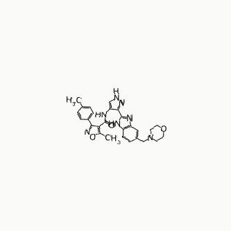 Cc1ccc(-c2noc(C)c2C(=O)Nc2c[nH]nc2-c2nc3cc(CN4CCOCC4)ccc3[nH]2)cc1